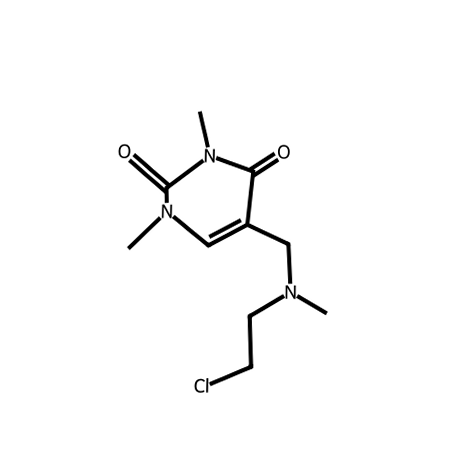 CN(CCCl)Cc1cn(C)c(=O)n(C)c1=O